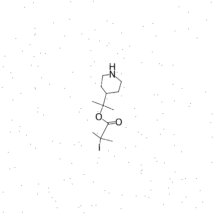 CC(C)(I)C(=O)OC(C)(C)C1CCNCC1